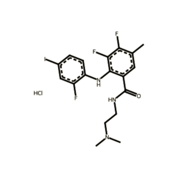 Cc1cc(C(=O)NCCN(C)C)c(Nc2ccc(I)cc2F)c(F)c1F.Cl